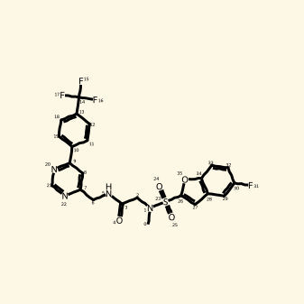 CN(CC(=O)NCc1cc(-c2ccc(C(F)(F)F)cc2)ncn1)S(=O)(=O)c1cc2cc(F)ccc2o1